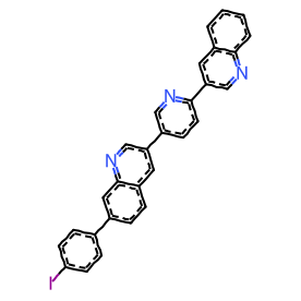 Ic1ccc(-c2ccc3cc(-c4ccc(-c5cnc6ccccc6c5)nc4)cnc3c2)cc1